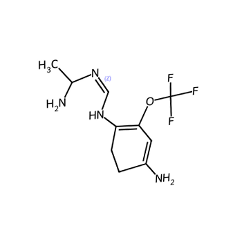 CC(N)/N=C\NC1=C(OC(F)(F)F)C=C(N)CC1